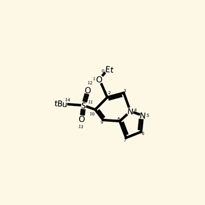 CCOc1cn2nccc2cc1S(=O)(=O)C(C)(C)C